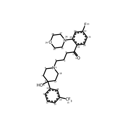 O=C(CCCN1CCC(O)(c2cccc(C(F)(F)F)c2)CC1)c1ccc(F)cc1N1CCOCC1